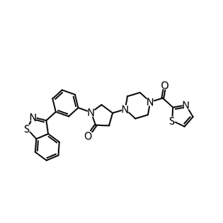 O=C(c1nccs1)N1CCN(C2CC(=O)N(c3cccc(-c4nsc5ccccc45)c3)C2)CC1